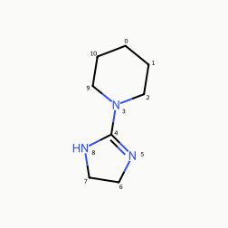 C1CCN(C2=NCCN2)CC1